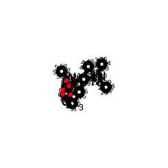 CC1CC2CC(C)C3(c4ccccc4-c4ccc(-c5cc(-c6nc(-c7ccccc7)nc(-c7ccccc7)n6)c(-c6ccccc6)cc5-c5nc(-c6ccccc6)nc(-c6ccccc6)n5)cc43)C(C1)C2